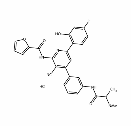 CNC(C)C(=O)Nc1cccc(-c2cc(-c3ccc(F)cc3O)nc(NC(=O)c3ccco3)c2C#N)c1.Cl